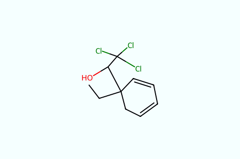 CCC1(C(O)C(Cl)(Cl)Cl)C=CC=CC1